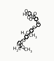 C=C(OCC)c1nccc(COc2ccc(C(C)(C)c3ccc(OCC4CCCN(c5ccc6c(c5)C(=O)N(C5CCC(=O)NC5=O)C6=O)C4)cc3)cc2)n1